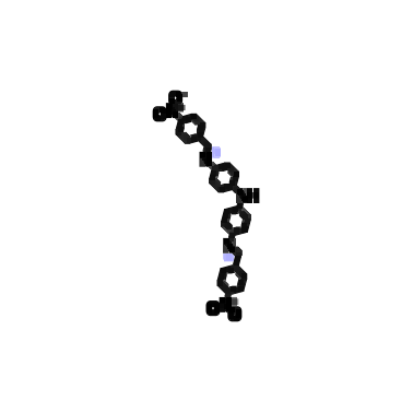 O=[N+]([O-])c1ccc(/C=N/c2ccc(Nc3ccc(/N=C/c4ccc([N+](=O)[O-])cc4)cc3)cc2)cc1